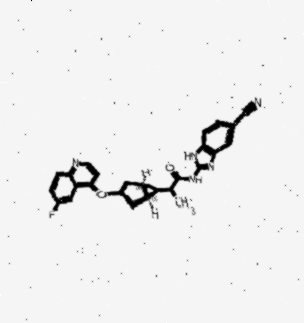 CC(C(=O)Nc1nc2cc(C#N)ccc2[nH]1)C1[C@H]2CC(Oc3ccnc4ccc(F)cc34)C[C@@H]12